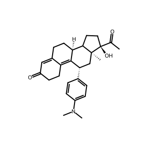 CC(=O)[C@@]1(O)CCC2[C@@H]3CCC4=CC(=O)CCC4=C3[C@@H](c3ccc(N(C)C)cc3)C[C@@]21C